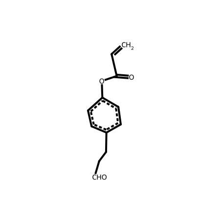 C=CC(=O)Oc1ccc(CCC=O)cc1